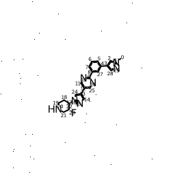 Cn1cc(-c2cccc(-c3ncc(-c4cnn([C@@H]5CCNC[C@H]5F)c4)cn3)c2)cn1